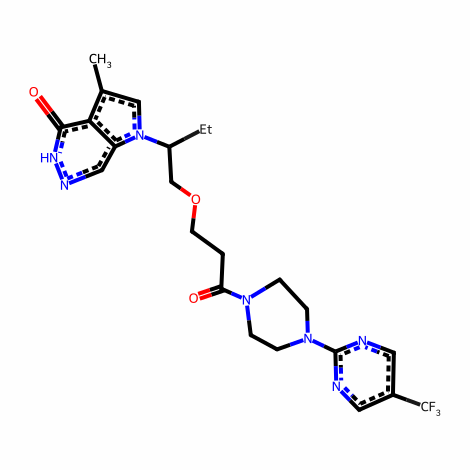 CCC(COCCC(=O)N1CCN(c2ncc(C(F)(F)F)cn2)CC1)n1cc(C)c2c(=O)[nH]ncc21